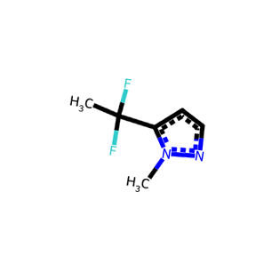 Cn1nccc1C(C)(F)F